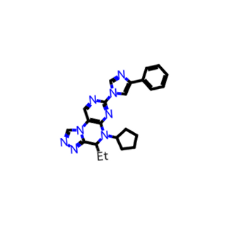 CCC1c2nncn2-c2cnc(-n3cnc(-c4ccccc4)c3)nc2N1C1CCCC1